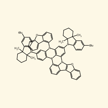 CC(C)(C)c1ccc2c(c1)C1(C)CCCCC1(C)N2c1ccc2c(c1)N(c1cccc3oc4ccccc4c13)c1cc(N3c4ccc(C(C)(C)C)cc4C4(C)CCCCC34C)cc3c1B2c1cccc2c4c5ccccc5oc4n-3c12